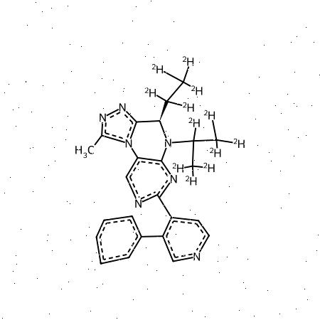 [2H]C([2H])([2H])C([2H])([2H])[C@@H]1c2nnc(C)n2-c2cnc(-c3ccncc3-c3ccccc3)nc2N1C([2H])(C([2H])([2H])[2H])C([2H])([2H])[2H]